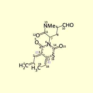 C=C/C=c1/c(=O)n(C(CCC=O)C(=O)NC)c(=O)s/c1=C/C